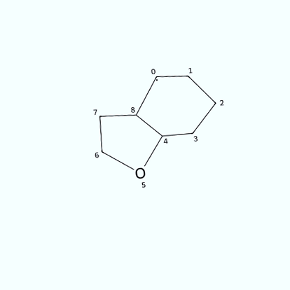 [CH]1CCCC2OCCC12